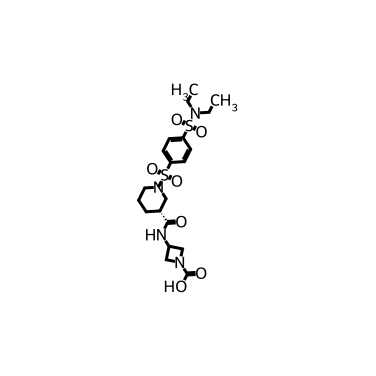 CCN(CC)S(=O)(=O)c1ccc(S(=O)(=O)N2CCC[C@@H](C(=O)NC3CN(C(=O)O)C3)C2)cc1